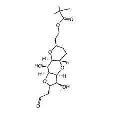 CC(C)(C)C(=O)OCC[C@H]1CC[C@@H]2O[C@H]3[C@@H](O)[C@@H](CC=O)O[C@H]3[C@@H](O)[C@H]2O1